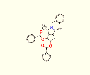 CCC1C2CC(OC(=O)c3ccccc3)C(OC(=O)c3ccccc3)C2C(C)N1Cc1ccccc1